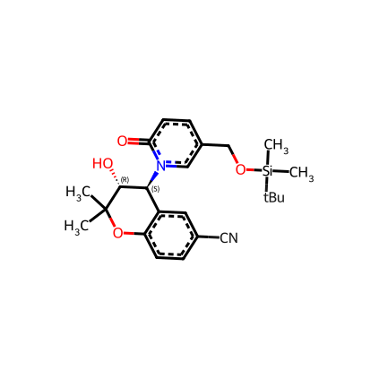 CC1(C)Oc2ccc(C#N)cc2[C@H](n2cc(CO[Si](C)(C)C(C)(C)C)ccc2=O)[C@H]1O